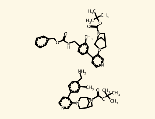 Cc1cc(-c2ccncc2N2CC3CC(C2)N(C(=O)OC(C)(C)C)C3)ccc1CN.Cc1cc(-c2ccncc2N2CC3CC(C2)N(C(=O)OC(C)(C)C)C3)ccc1CNC(=O)OCc1ccccc1